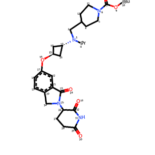 CC(C)N(CC1CCN(C(=O)OC(C)(C)C)CC1)[C@H]1C[C@H](Oc2ccc3c(c2)C(=O)N(C2CCC(=O)NC2=O)C3)C1